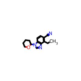 CCc1c(C#N)ccc2c1ncn2C1CCCCO1